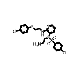 NCCN(c1cccnc1NCCSc1ccc(Cl)cc1)S(=O)(=O)c1ccc(Cl)cc1